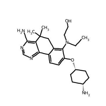 CCN(CCO)c1c(O[C@H]2CC[C@@H](N)CC2)ccc2c1CC(C)(C)c1c(N)ncnc1-2